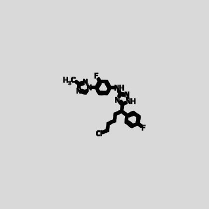 Cc1ncn(-c2ccc(Nc3n[nH]c(C(CCCCCl)c4ccc(F)cc4)n3)cc2F)n1